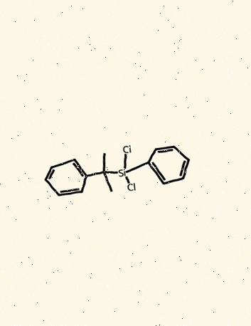 CC(C)(c1ccccc1)[Si](Cl)(Cl)c1ccccc1